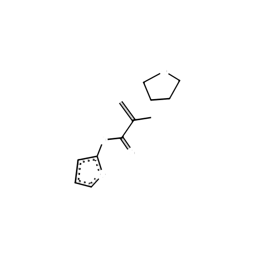 C1CCOC1.C=C(C)C(=O)Oc1ccco1